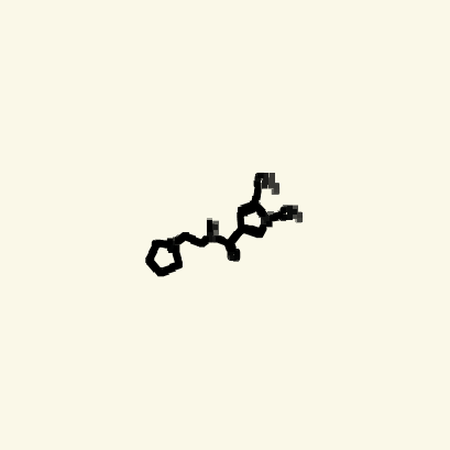 Cc1cc(C(=O)NCCN2CCCC2)cn1C